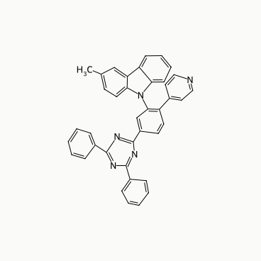 Cc1ccc2c(c1)c1ccccc1n2-c1cc(-c2nc(-c3ccccc3)nc(-c3ccccc3)n2)ccc1-c1ccncc1